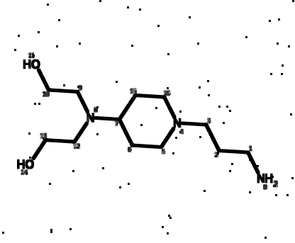 NCCCN1CCC(N(CCO)CCO)CC1